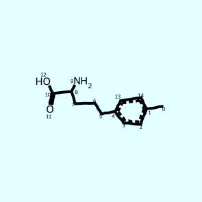 Cc1ccc(CCCC(N)C(=O)O)cc1